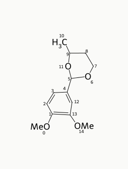 COc1ccc(C2OCCC(C)O2)cc1OC